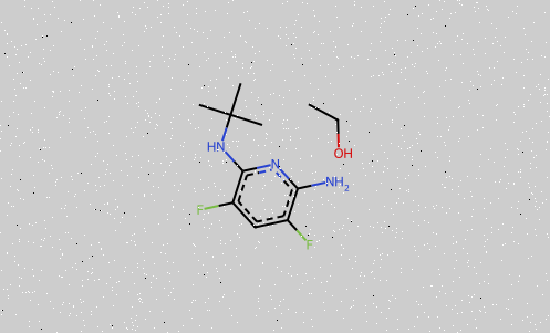 CC(C)(C)Nc1nc(N)c(F)cc1F.CCO